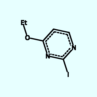 CCOc1ccnc(I)n1